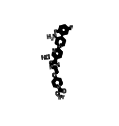 CC(C)OC(=O)N1CCC(OCc2noc(-c3ccc(N4CC[C@H](c5cc(F)ccc5F)[C@H](N)C4)nc3)n2)CC1.Cl